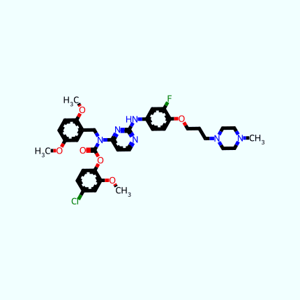 COc1ccc(OC)c(CN(C(=O)Oc2ccc(Cl)cc2OC)c2ccnc(Nc3ccc(OCCCN4CCN(C)CC4)c(F)c3)n2)c1